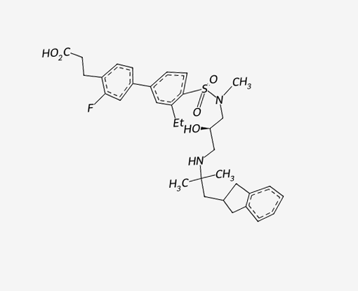 CCc1cc(-c2ccc(CCC(=O)O)c(F)c2)ccc1S(=O)(=O)N(C)C[C@H](O)CNC(C)(C)CC1Cc2ccccc2C1